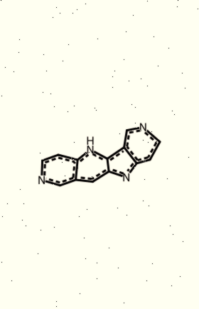 c1cc2[nH]c3c4cnccc4nc-3cc2cn1